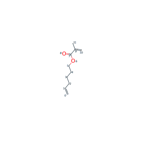 C=CCCCCOC(=O)C(=C)C